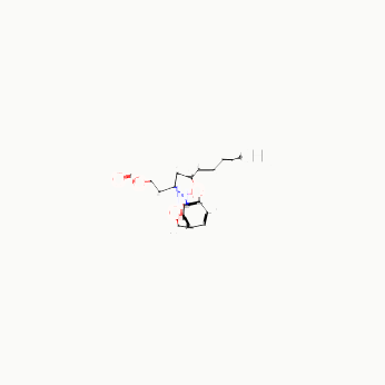 CCCCCC1CC(CCOC=O)=NO1.c1cc2cc(c1)OC2